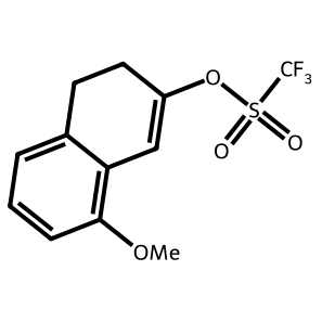 COc1cccc2c1C=C(OS(=O)(=O)C(F)(F)F)CC2